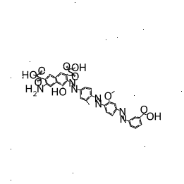 COc1cc(N=Nc2cccc(C(=O)O)c2)ccc1N=Nc1ccc(N=Nc2c(S(=O)(=O)O)cc3cc(S(=O)(=O)O)c(N)cc3c2O)cc1C